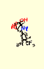 CC(C)c1cc(CNC(C)(CO)C(O)O)ccc1C(F)(F)F